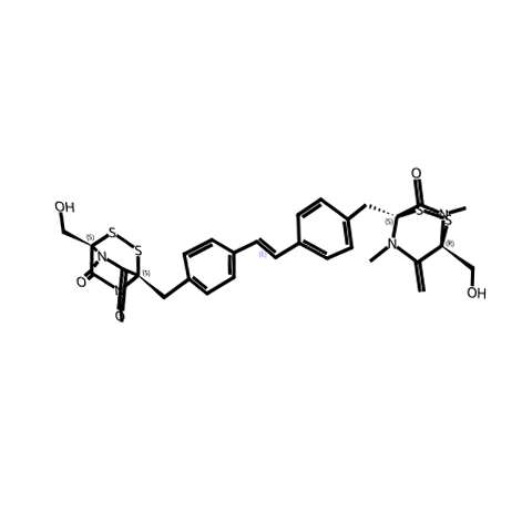 C=C1N(C)[C@@]2(Cc3ccc(/C=C/c4ccc(C[C@@]56SS[C@@](CO)(C(=O)N5C)N(C)C6=O)cc4)cc3)SS[C@]1(CO)N(C)C2=O